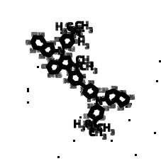 CC1(C)c2cc(-c3ccc(N(c4ccc([Si](C)(C)C)cc4)c4ccc5ccccc5c4)cc3)ccc2-c2c1cc(N(c1ccc([Si](C)(C)C)cc1)c1ccc3ccccc3c1)c1ccccc21